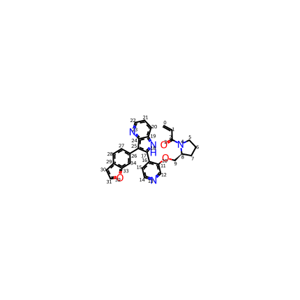 C=CC(=O)N1CCC[C@H]1COc1cnccc1-c1[nH]c2cccnc2c1-c1ccc2ccoc2c1